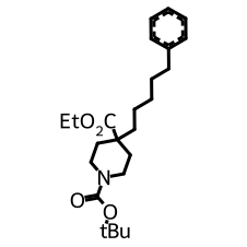 CCOC(=O)C1(CCCCCc2ccccc2)CCN(C(=O)OC(C)(C)C)CC1